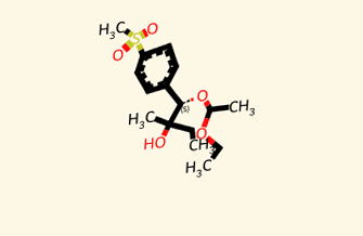 CCOC(C)O[C@@H](c1ccc(S(C)(=O)=O)cc1)C(C)(O)CC